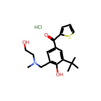 CN(CCO)Cc1cc(C(=O)c2cccs2)cc(C(C)(C)C)c1O.Cl